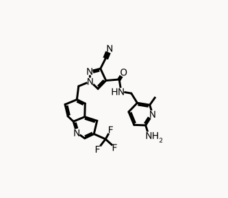 Cc1nc(N)ccc1CNC(=O)c1cn(Cc2ccc3ncc(C(F)(F)F)cc3c2)nc1C#N